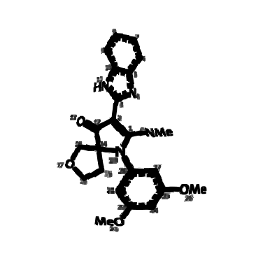 CNC1=C(c2nc3ccccc3[nH]2)C(=O)C2(CCOC2)N1c1cc(OC)cc(OC)c1